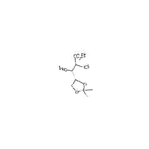 CCOC(=O)C(Cl)C(O)[C@H]1COC(C)(C)O1